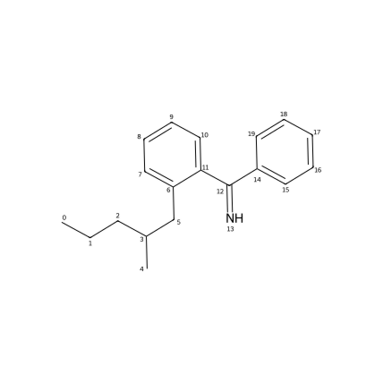 CCCC(C)Cc1ccccc1C(=N)c1ccccc1